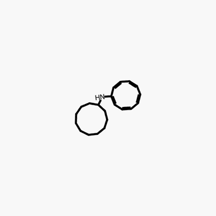 c1ccccc(NC2CCCCCCCCCC2)cccc1